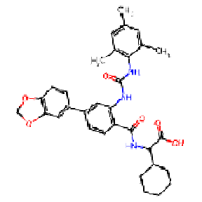 Cc1cc(C)c(NC(=O)Nc2cc(-c3ccc4c(c3)OCO4)ccc2C(=O)NC(C(=O)O)C2CCCCC2)c(C)c1